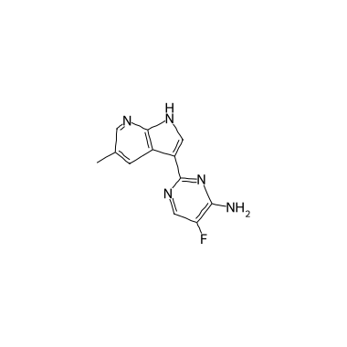 Cc1cnc2[nH]cc(-c3ncc(F)c(N)n3)c2c1